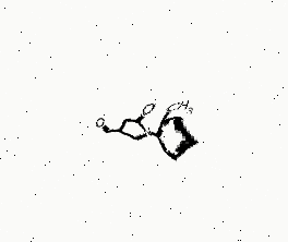 Cc1ccccc1N1CC(C=O)CC1=O